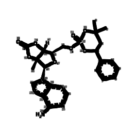 CC1(C)CC(c2ccccc2)OP(=O)(OC[C@H]2O[C@@H](n3cnc4c(N)ncnc43)[C@]3(C)OC(=O)O[C@H]23)O1